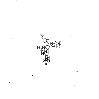 CN(C)CC1CCC(NC2=CC(N)(c3ccnc(-c4cnn(S(=O)(=O)C5CC5)c4)n3)NC=C2c2ccc(OC(F)(F)F)cn2)CC1